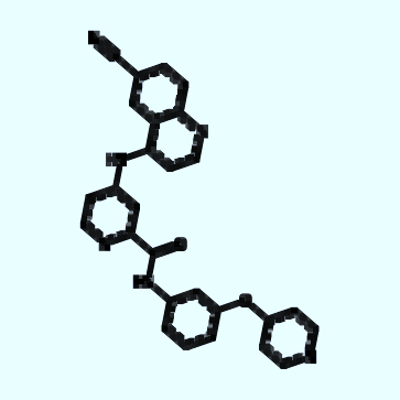 N#Cc1ccc2nccc(Nc3ccnc(C(=O)Nc4cccc(Oc5ccncc5)c4)c3)c2c1